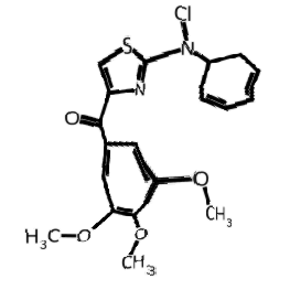 COc1cc(C(=O)c2csc(N(Cl)C3C=CC=CC3)n2)cc(OC)c1OC